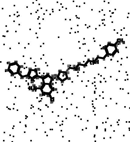 Cc1ccc(CCNCCCNC[C@@H]2CC[C@H](n3cc(-c4nc(Cc5ccccc5)cs4)c4c(N)nc(Cl)nc43)C2)cc1